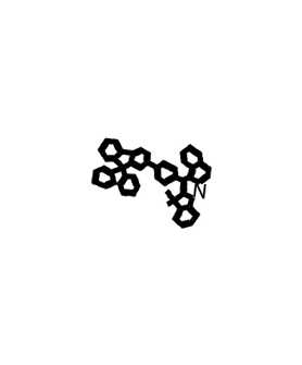 CC1(C)c2ccccc2-c2nc3ccc4ccccc4c3c(-c3ccc(-c4ccc5c(c4)C(c4ccccc4)(c4ccccc4)c4ccccc4-5)cc3)c21